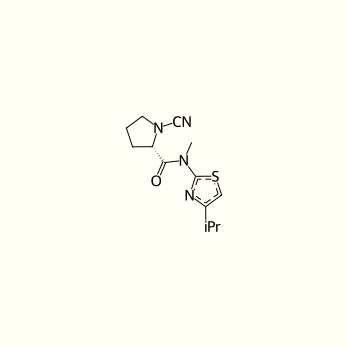 CC(C)c1csc(N(C)C(=O)[C@@H]2CCCN2C#N)n1